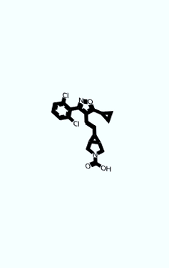 O=C(O)N1CC2C(/C=C/c3c(-c4c(Cl)cccc4Cl)noc3C3CC3)C2C1